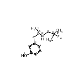 C[C@H](Cc1cccc(O)c1)NCC(C)(C)F